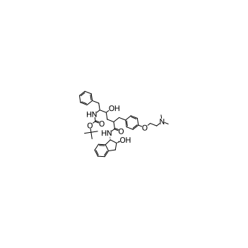 CN(C)CCOc1ccc(CC(CC(O)C(Cc2ccccc2)NC(=O)OC(C)(C)C)C(=O)N[C@H]2c3ccccc3C[C@@H]2O)cc1